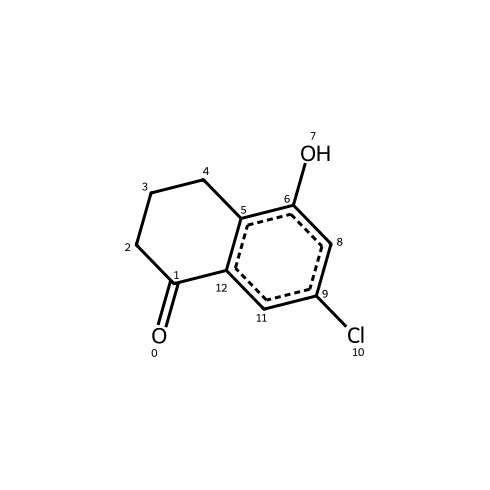 O=C1CCCc2c(O)cc(Cl)cc21